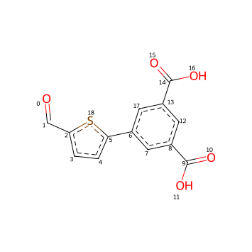 O=Cc1ccc(-c2cc(C(=O)O)cc(C(=O)O)c2)s1